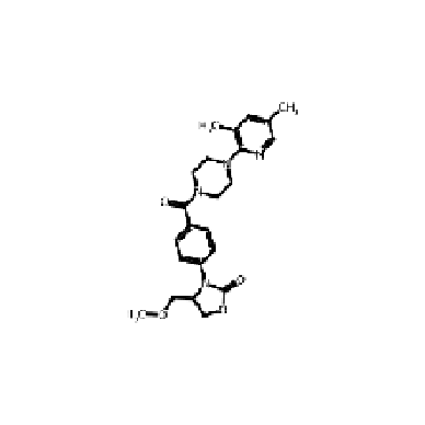 COCC1COC(=O)N1c1ccc(C(=O)N2CCN(c3ncc(C)cc3C)CC2)cc1